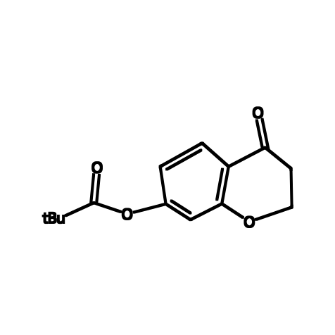 CC(C)(C)C(=O)Oc1ccc2c(c1)OCCC2=O